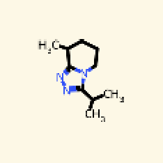 CC(C)c1nnc2n1CCCC2C